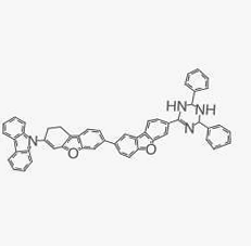 C1=C(n2c3ccccc3c3ccccc32)CCc2c1oc1cc(-c3ccc4oc5cc(C6=NC(c7ccccc7)NC(c7ccccc7)N6)ccc5c4c3)ccc21